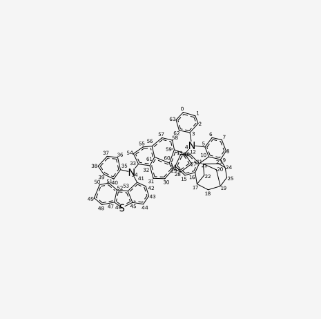 c1ccc(N(c2cccc3c2-c2ccccc2C2CC4CC(C2)CC3C4)c2ccc3ccc4c(N(c5ccccc5)c5cccc6sc7ccccc7c56)ccc5ccc2c3c54)cc1